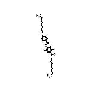 CCCCCCCCOC(=O)c1cc(F)c(OC(=O)c2ccc(OCCCCCCCC)cc2)c(F)c1F